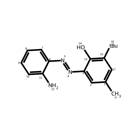 Cc1cc(N=Nc2ccccc2N)c(O)c(C(C)(C)C)c1